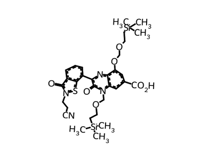 C[Si](C)(C)CCOCOc1cc(C(=O)O)cc2c1nc(-c1cccc3c(=O)n(CCC#N)sc13)c(=O)n2COCC[Si](C)(C)C